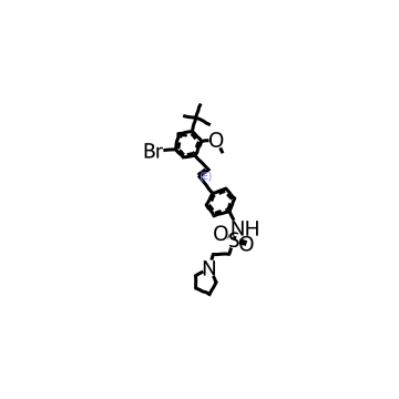 COc1c(/C=C/c2ccc(NS(=O)(=O)CCN3CCCC3)cc2)cc(Br)cc1C(C)(C)C